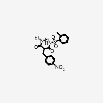 CCN(CC)C(=O)C(Cc1ccc([N+](=O)[O-])cc1)C(=O)NS(=O)(=O)c1ccccc1C